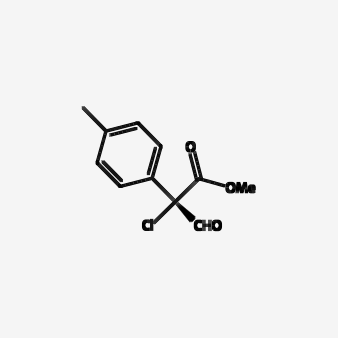 COC(=O)[C@@](Cl)(C=O)c1ccc(C)cc1